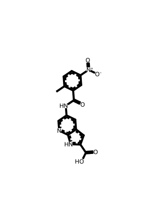 Cc1ccc([N+](=O)[O-])cc1C(=O)Nc1cnc2[nH]c(C(=O)O)cc2c1